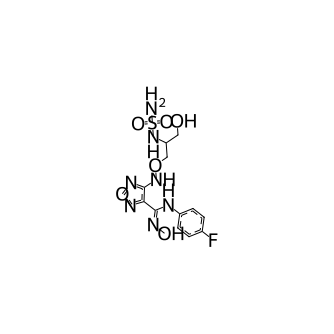 NS(=O)(=O)NC(CO)CONc1nonc1/C(=N/O)Nc1ccc(F)cc1